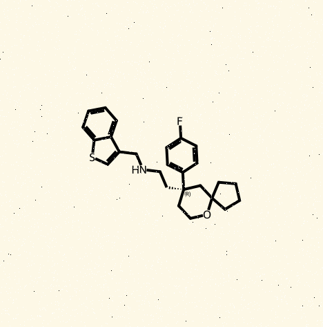 Fc1ccc([C@]2(CCNCc3csc4ccccc34)CCOC3(CCCC3)C2)cc1